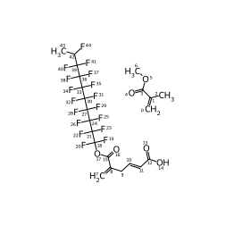 C=C(C)C(=O)OC.C=C(CC=CC(=O)O)C(=O)OC(F)(F)C(F)(F)C(F)(F)C(F)(F)C(F)(F)C(F)(F)C(F)(F)C(F)(F)C(C)F